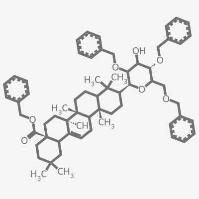 CC1(C)CC[C@]2(C(=O)OCc3ccccc3)CC[C@]3(C)C(=CCC4[C@@]5(C)CCC([C@@H]6OC(COCc7ccccc7)[C@@H](OCc7ccccc7)C(O)C6OCc6ccccc6)C(C)(C)C5CC[C@]43C)C2C1